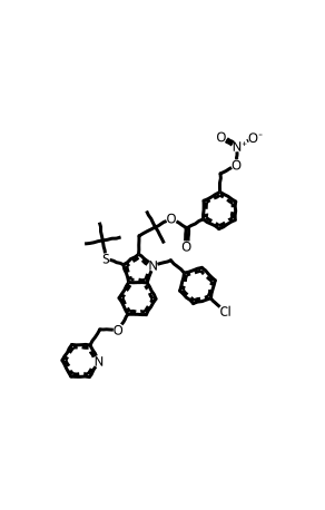 CC(C)(Cc1c(SC(C)(C)C)c2cc(OCc3ccccn3)ccc2n1Cc1ccc(Cl)cc1)OC(=O)c1cccc(CO[N+](=O)[O-])c1